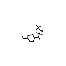 CCC1CCC(C(C)C(C)(C)NC(C)(C)C)CC1